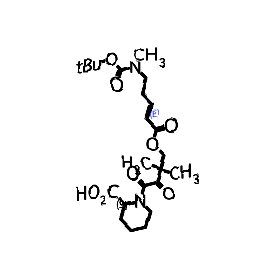 CN(CC/C=C/C(=O)OCC(C)(C)C(=O)C(=O)N1CCCC[C@H]1C(=O)O)C(=O)OC(C)(C)C